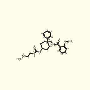 COCCNC(=O)OC1CCC(CNC(=O)c2ccccc2OC)(c2ccccc2)CC1